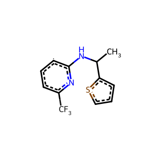 CC(Nc1[c]ccc(C(F)(F)F)n1)c1cccs1